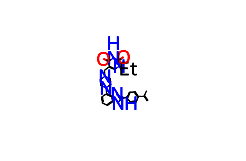 C=C(C)c1ccc(-c2nc3c(N4CCN(Cc5cn(CC)c(=O)[nH]c5=O)CC4)cccc3[nH]2)cc1